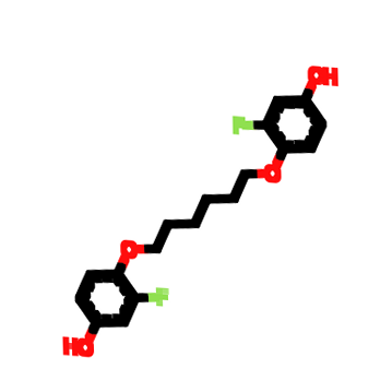 Oc1ccc(OCCCCCCOc2ccc(O)cc2F)c(F)c1